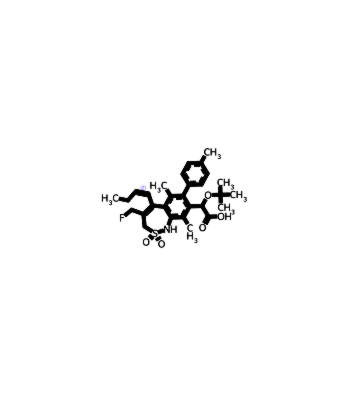 CC/C=C\C1=C(CF)CS(=O)(=O)Nc2c(C)c(C(OC(C)(C)C)C(=O)O)c(-c3ccc(C)cc3)c(C)c21